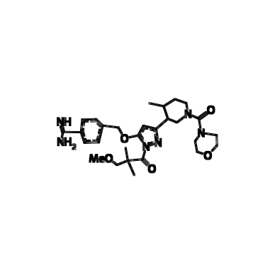 COCC(C)(C)C(=O)n1nc(C2CN(C(=O)N3CCOCC3)CCC2C)cc1OCc1ccc(C(=N)N)cc1